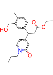 CCCn1ccc(C(CC(=O)OCC)c2ccc(C)c(CO)c2)cc1=O